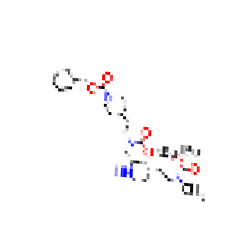 CN(CCC1CCNC(CN(CCC2CCN(C(=O)OCc3ccccc3)CC2)C(=O)OC(C)(C)C)C1)C(=O)OC(C)(C)C